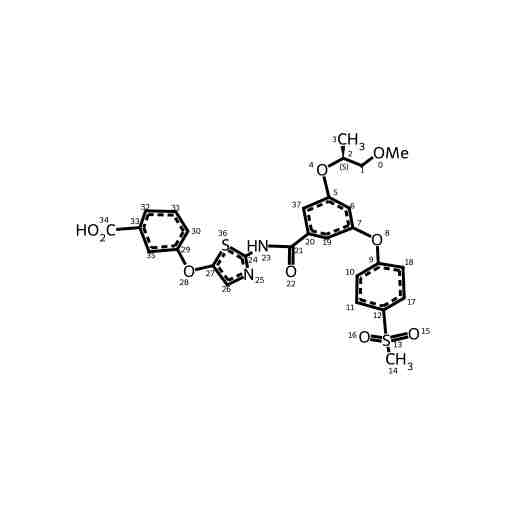 COC[C@H](C)Oc1cc(Oc2ccc(S(C)(=O)=O)cc2)cc(C(=O)Nc2ncc(Oc3cccc(C(=O)O)c3)s2)c1